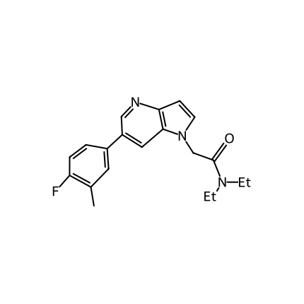 CCN(CC)C(=O)Cn1ccc2ncc(-c3ccc(F)c(C)c3)cc21